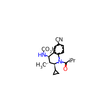 CC(C)C(=O)N1c2ccc(C#N)cc2[C@H](NC(=O)O)[C@@H](C)[C@@H]1C1CC1